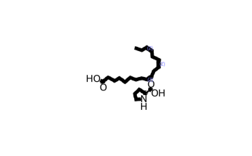 CC/C=C\C/C=C\C/C=C\CCCCCCCC(=O)O.O=C(O)[C@@H]1CCCN1